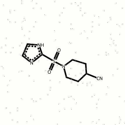 N#CC1CCN(S(=O)(=O)c2ncc[nH]2)CC1